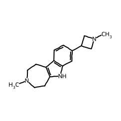 CN1CCc2[nH]c3cc(C4CN(C)C4)ccc3c2CC1